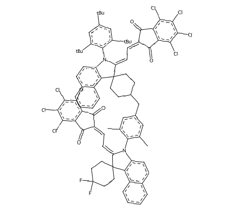 Cc1cc(CC2CCC3(CC2)/C(=C/C=C2C(=O)c4c(Cl)c(Cl)c(Cl)c(Cl)c4C2=O)N(c2c(C(C)(C)C)cc(C(C)(C)C)cc2C(C)(C)C)c2ccc4ccccc4c23)cc(C)c1N1/C(=C\C=C2C(=O)c3c(Cl)c(Cl)c(Cl)c(Cl)c3C2=O)C2(CCC(F)(F)CC2)c2c1ccc1ccccc21